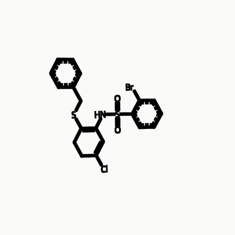 O=S(=O)(NC1=C(SCc2ccccc2)CCC(Cl)=C1)c1ccccc1Br